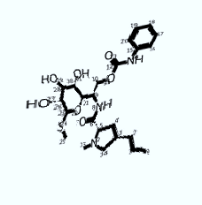 CCC[C@@H]1C[C@@H](C(=O)N[C@H](COC(=O)Nc2ccccc2)[C@H]2OC(SC)[C@H](O)C(O)[C@@H]2O)N(C)C1